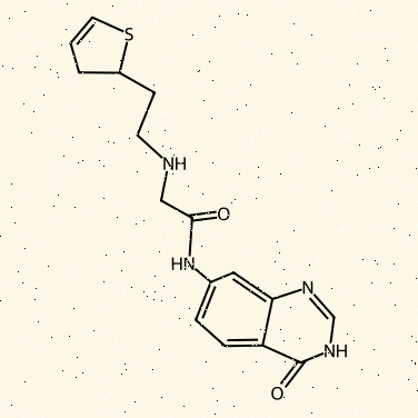 O=C(CNCCC1CC=CS1)Nc1ccc2c(=O)[nH]cnc2c1